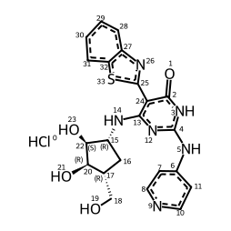 Cl.O=c1[nH]c(Nc2ccncc2)nc(N[C@@H]2C[C@H](CO)[C@@H](O)[C@H]2O)c1-c1nc2ccccc2s1